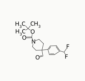 CC(C)(C)OC(=O)N1CCC(C=O)(c2ccc(C(F)F)cc2)CC1